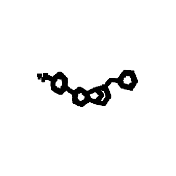 FC(F)(F)c1ccc(-c2ccc3c(c2)C2CC3CCN2Cc2ccccc2)cc1